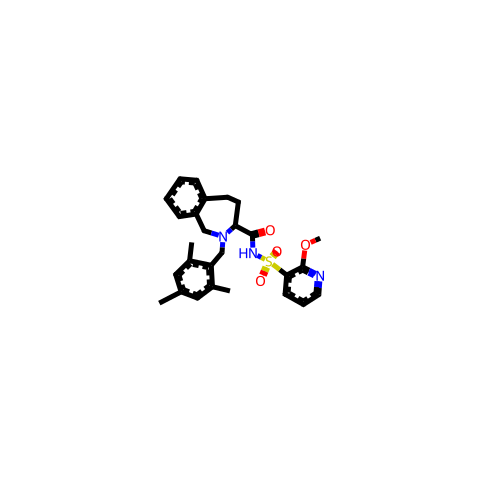 COc1ncccc1S(=O)(=O)NC(=O)C1CCc2ccccc2CN1Cc1c(C)cc(C)cc1C